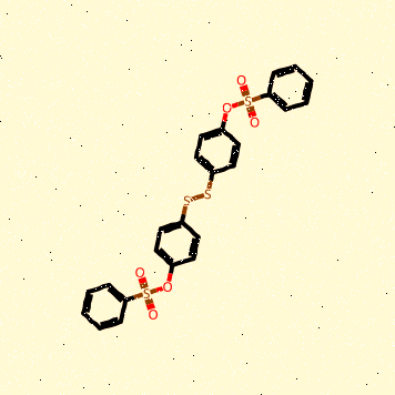 O=S(=O)(Oc1ccc(SSc2ccc(OS(=O)(=O)c3ccccc3)cc2)cc1)c1ccccc1